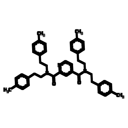 Cc1ccc(CCN(CCc2ccc(C)cc2)C(=O)c2ccnc(C(=O)N(CCc3ccc(C)cc3)CCc3ccc(C)cc3)c2)cc1